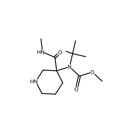 CNC(=O)C1(N(C(=O)OC)C(C)(C)C)CCCNC1